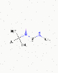 CNBN(I)C(C)(C)C